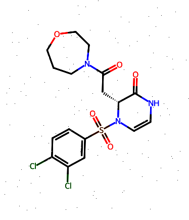 O=C1NC=CN(S(=O)(=O)c2ccc(Cl)c(Cl)c2)[C@@H]1CC(=O)N1CCCOCC1